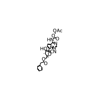 CC(=O)OCOC(=O)Nc1ncnn2c([C@]3(C#N)O[C@@H](COC(=O)Cc4ccccc4)[CH][C@H]3O)ccc12